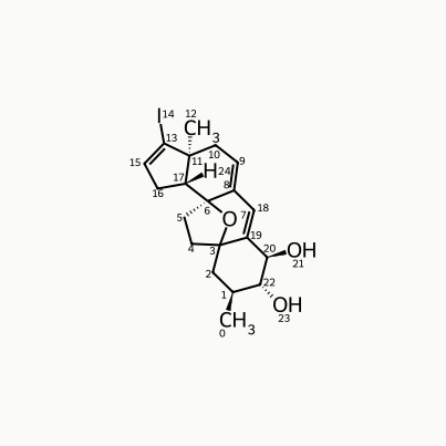 C[C@H]1CC23CC[C@@]4(O2)C(=CC[C@]2(C)C(I)=CC[C@H]24)C=C3[C@@H](O)[C@@H]1O